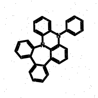 c1ccc(N2c3ccccc3N3c4ccccc4-c4ccccc4-c4cccc2c43)cc1